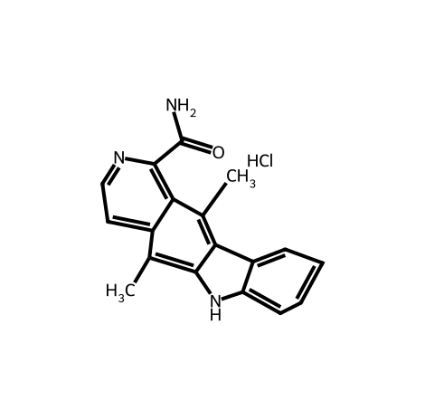 Cc1c2ccnc(C(N)=O)c2c(C)c2c1[nH]c1ccccc12.Cl